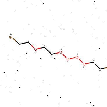 BrCCOCCOOOOCCBr